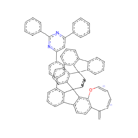 C=C1/C=C\C=C/Oc2c1ccc1c2C2(c3ccccc3C3(c4ccccc4-c4ccccc43)c3ccccc32)c2c(-c3ccc(-c4cc(-c5ccccc5)nc(-c5ccccc5)n4)cc3)cccc2-1